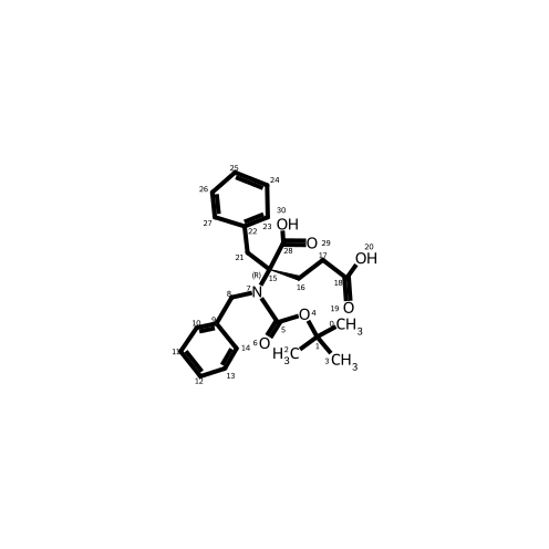 CC(C)(C)OC(=O)N(Cc1ccccc1)[C@](CCC(=O)O)(Cc1ccccc1)C(=O)O